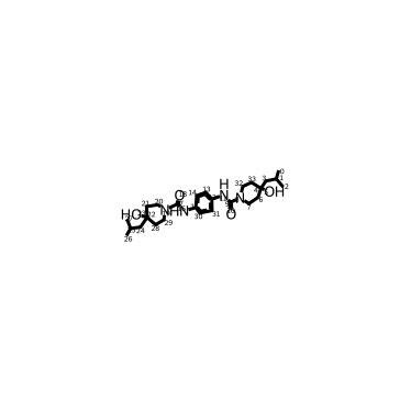 CC(C)CC1(O)CCN(C(=O)Nc2ccc(NC(=O)N3CCC(O)(CC(C)C)CC3)cc2)CC1